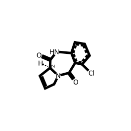 O=C1Nc2cccc(Cl)c2C(=O)N2CC=C[C@@H]12